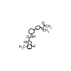 CC(=O)N(C)[C@H]1CCN([C@H]2CCC[C@@H](NC(=O)C3Cc4c(F)ccc(C)c4N3)C2)C1